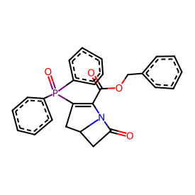 O=C(OCc1ccccc1)C1=C(P(=O)(c2ccccc2)c2ccccc2)CC2CC(=O)N12